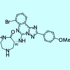 COc1ccc(-c2nc3c4cccc(Br)c4nc(N[C@@H]4CNCCNC4=O)n3n2)cc1